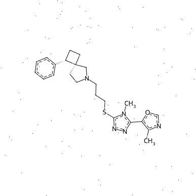 Cc1ncoc1-c1nnc(SCCCN2CC[C@]3(CC[C@H]3c3ccccc3)C2)n1C